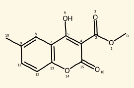 COC(=O)c1c(O)c2cc(C)ccc2oc1=O